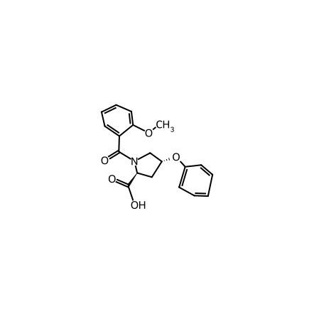 COc1ccccc1C(=O)N1C[C@H](Oc2ccccc2)C[C@H]1C(=O)O